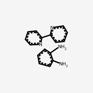 Nc1ccccc1N.c1ccc(-c2ccccn2)nc1